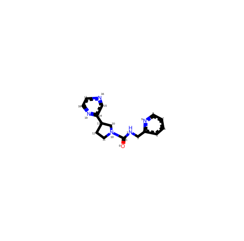 O=C(NCc1ccccn1)N1CCC(c2cnccn2)C1